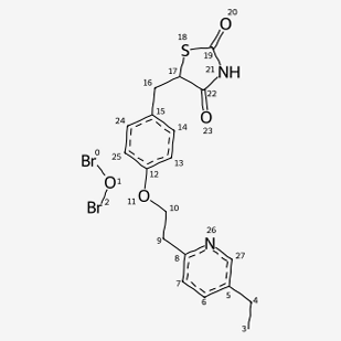 BrOBr.CCc1ccc(CCOc2ccc(CC3SC(=O)NC3=O)cc2)nc1